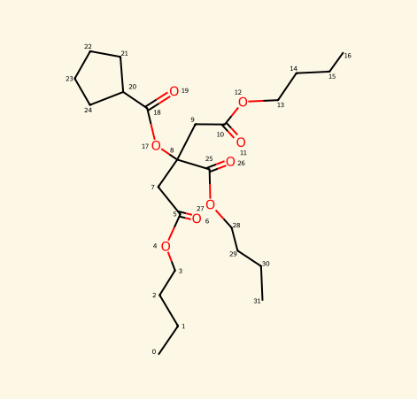 CCCCOC(=O)CC(CC(=O)OCCCC)(OC(=O)C1CCCC1)C(=O)OCCCC